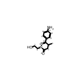 CC1CC(=O)N(CCO)N=C1c1ccc(N)cc1